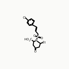 CCC1CC(=O)CC(C(=O)O)N1S(=O)(=O)CC=Cc1ccc(Cl)cc1